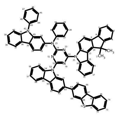 CC1(C)c2ccccc2-c2ccc3c(c21)c1ccccc1n3-c1nc(N(c2ccccc2)c2ccc3c4ccccc4n(-c4ccccc4)c3c2)nc(-n2c3ccccc3c3ccc(-c4ccc5c(c4)sc4ccccc45)cc32)n1